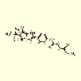 COC(=O)CCC(=O)Nc1ccc(-c2nn3nc(C(C)(C)C)c(Cl)c3[nH]2)cc1